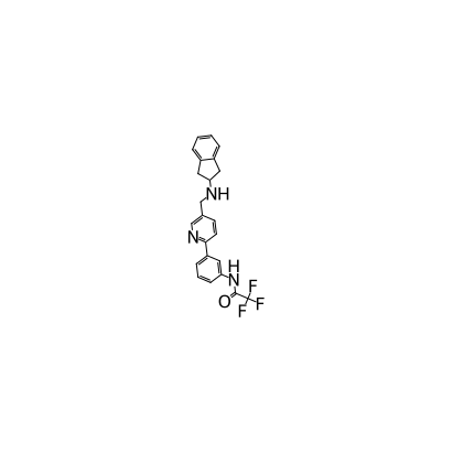 O=C(Nc1cccc(-c2ccc(CNC3Cc4ccccc4C3)cn2)c1)C(F)(F)F